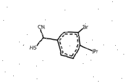 CC(C)c1ccc(C(S)C#N)cc1Br